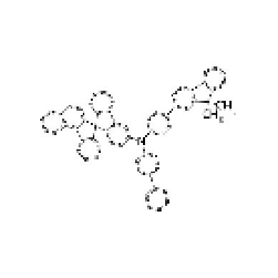 CC1(C)c2ccccc2-c2ccc(-c3ccc(N(c4ccc(-c5ccccc5)cc4)c4ccc5c(c4)-c4ccccc4C54c5ccccc5-c5c4ccc4ccccc54)cc3)cc21